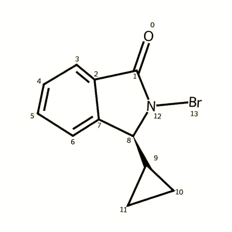 O=C1c2ccccc2[C@H](C2CC2)N1Br